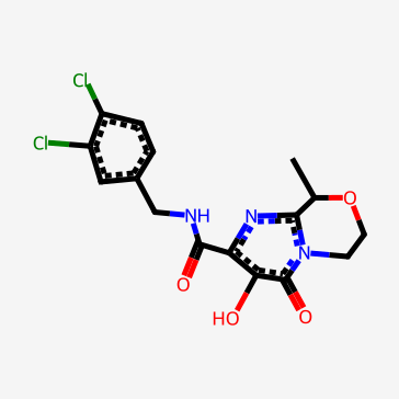 CC1OCCn2c1nc(C(=O)NCc1ccc(Cl)c(Cl)c1)c(O)c2=O